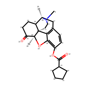 CN1CC[C@]23c4c5ccc(OC(=O)C6CCCC6)c4O[C@H]2C(=O)CCC3[C@H]1C5